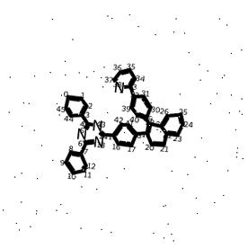 c1ccc(-c2nc(-c3ccccc3)nc(-c3ccc(-c4ccc5ccccc5c4-c4ccc(-c5ccccn5)cc4)cc3)n2)cc1